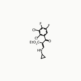 CCOC(=O)/C(=C\NC1CC1)C(=O)c1cc(F)c(F)c(Cl)c1Cl